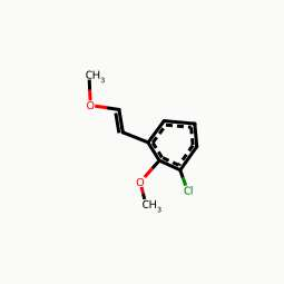 COC=Cc1cccc(Cl)c1OC